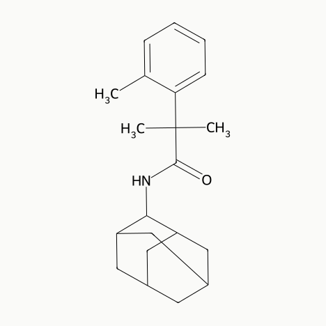 Cc1ccccc1C(C)(C)C(=O)NC1C2CC3CC(C2)CC1C3